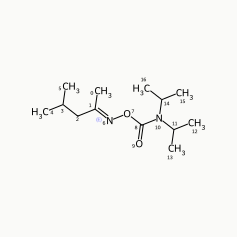 C/C(CC(C)C)=N\OC(=O)N(C(C)C)C(C)C